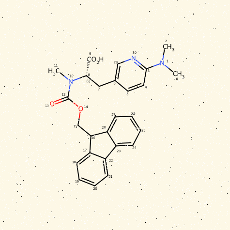 CN(C)c1ccc(C[C@@H](C(=O)O)N(C)C(=O)OCC2c3ccccc3-c3ccccc32)cn1